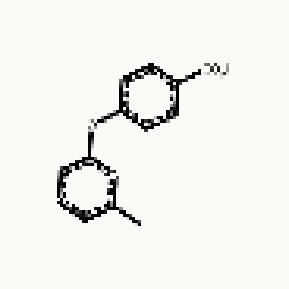 Cc1cncc(Oc2ccc(C(=O)O)cc2)n1